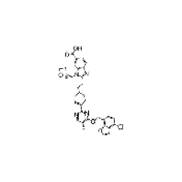 O=C(O)c1ccc2nc(CCC3CC=C(c4ncc(F)c(OCc5ccc(Cl)c6ccoc56)n4)CC3)n(C[C@@H]3CCO3)c2c1